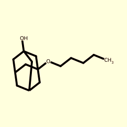 CCCCCOC12CC3CC(CC(O)(C3)C1)C2